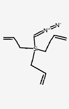 C=CC[Si](C=[N+]=[N-])(CC=C)CC=C